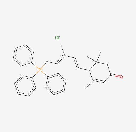 CC(C=CC1C(C)=CC(=O)CC1(C)C)=CC[P+](c1ccccc1)(c1ccccc1)c1ccccc1.[Cl-]